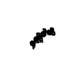 CCC(c1ccc(OC)c(OC)c1)N1CCC(NC(=O)c2ccc(-c3cccc(F)c3)nc2)CC1